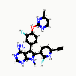 C#Cc1ccc(-c2c(-c3ccc(Oc4nccc(C)n4)c(F)c3)c3c(N)ncnc3n2C)c(F)n1